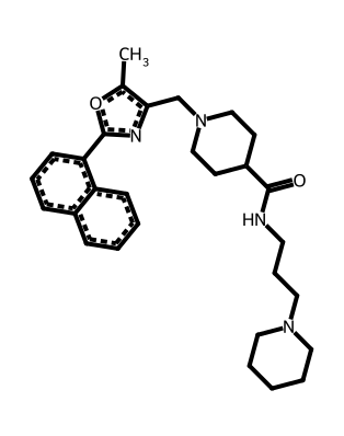 Cc1oc(-c2cccc3ccccc23)nc1CN1CCC(C(=O)NCCCN2CCCCC2)CC1